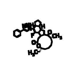 CC[C@H]1CCCC[C@@H](C)C(=O)C2=CC3C(C(F)=C(n4cc(-c5ccccc5)nn4)[C@@H]4CCC[C@@H]34)C2CC(=O)O1